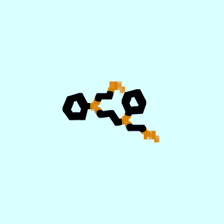 PCCP(CCCP(CCP)c1ccccc1)c1ccccc1